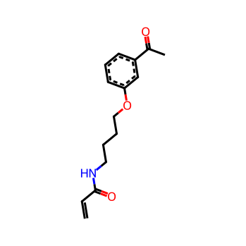 C=CC(=O)NCCCCOc1cccc(C(C)=O)c1